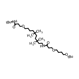 CC(C)(CCCCOCCC(=O)NC(C)(C)C)CCC(C)(C)CCNC(=O)CCOCCCCOC(C)(C)C